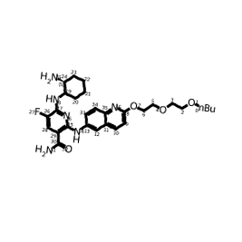 CCCCOCCOCCOc1ccc2cc(Nc3nc(NC4CCCC[C@@H]4N)c(F)cc3C(N)=O)ccc2n1